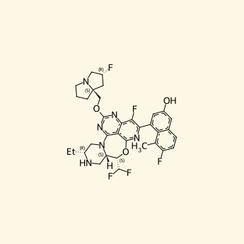 CC[C@@H]1CN2c3nc(OC[C@@]45CCCN4C[C@H](F)C5)nc4c(F)c(-c5cc(O)cc6ccc(F)c(C)c56)nc(c34)O[C@H](C(F)F)[C@@H]2CN1